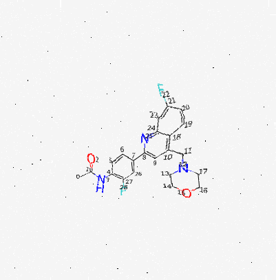 CC(=O)Nc1ccc(-c2cc(CN3CCOCC3)c3ccc(F)cc3n2)cc1F